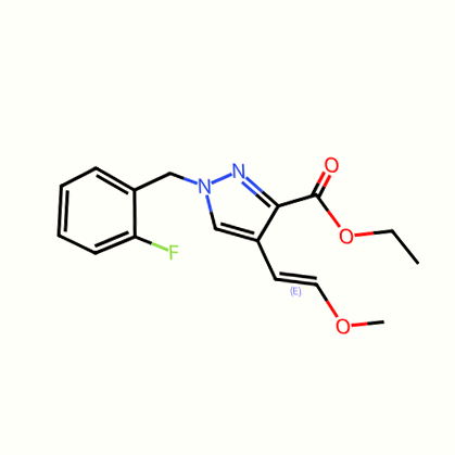 CCOC(=O)c1nn(Cc2ccccc2F)cc1/C=C/OC